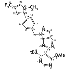 COc1ncnc(C(C)(C)C)c1-c1ncc2cnn(Cc3ccc(-c4nc(C(F)(F)F)cn4C)cc3)c2n1